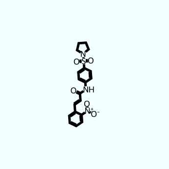 O=C(C=Cc1ccccc1[N+](=O)[O-])Nc1ccc(S(=O)(=O)N2CCCC2)cc1